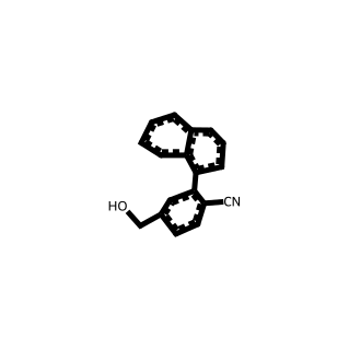 N#Cc1ccc(CO)cc1-c1cccc2ccccc12